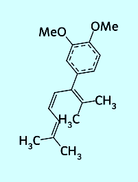 COc1ccc(C(/C=C\C=C(C)C)=C(C)C)cc1OC